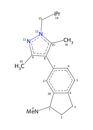 CNC1CCc2ccc(-c3c(C)nn(CC(C)C)c3C)cc21